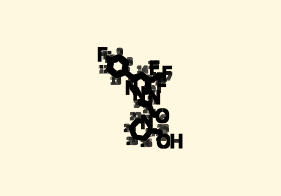 O=C(c1cn2nc(-c3ccc(F)cc3)cc(C(F)(F)F)c2n1)N1CCCCC1CO